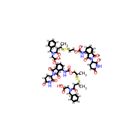 C[C@H](COC(=O)Nc1ccc(OC(=O)CN(Cc2ccccc2)C(=O)C[C@H](C)SSCCOC(=O)Nc2cccc3c2C(=O)N(C2CCC(=O)NC2=O)C3=O)c2c1C(=O)N(C1CCC(=O)NC1=O)C2=O)SS[C@H](C)CC(=O)N(CC(=O)O)Cc1ccccc1